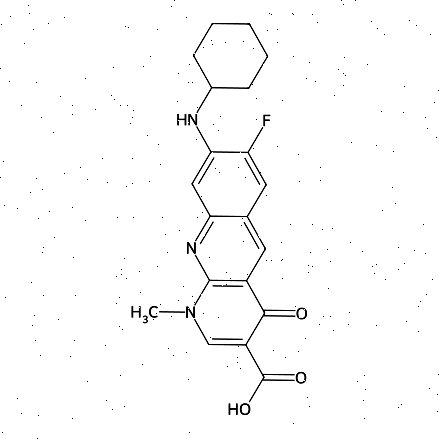 Cn1cc(C(=O)O)c(=O)c2cc3cc(F)c(NC4CCCCC4)cc3nc21